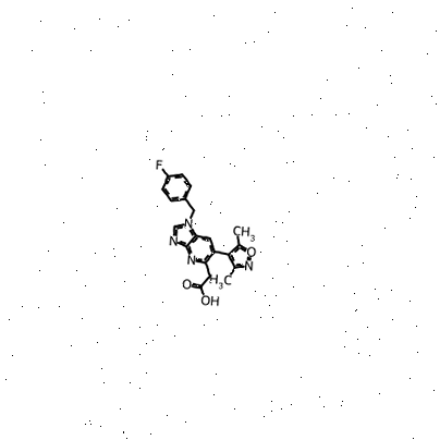 Cc1noc(C)c1-c1cc2c(ncn2Cc2ccc(F)cc2)nc1CC(=O)O